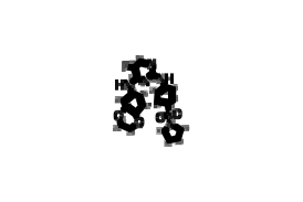 O=S(=O)(c1ccc(Nc2ncc(F)c(Nc3ccc4c(c3)OCCO4)n2)cc1)N1CCCC1